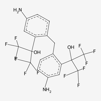 Nc1ccc(Cc2ccc(N)cc2C(O)(C(F)(F)F)C(F)(F)F)c(C(O)(C(F)(F)F)C(F)(F)F)c1